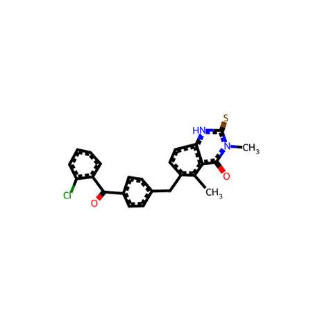 Cc1c(Cc2ccc(C(=O)c3ccccc3Cl)cc2)ccc2[nH]c(=S)n(C)c(=O)c12